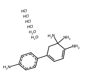 Cl.Cl.Cl.Cl.NC1=CC=C(c2ccc(N)cc2)CC1(N)N.O.O